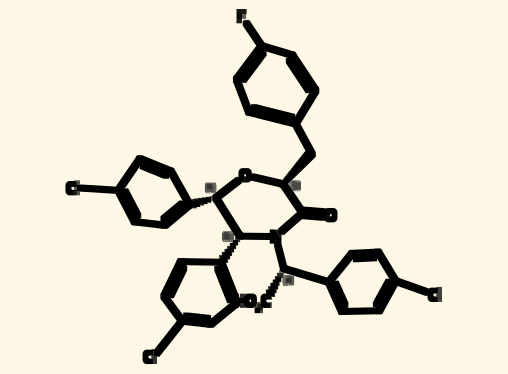 O=C(O)[C@@H](c1ccc(Cl)cc1)N1C(=O)[C@H](Cc2ccc(F)cc2)O[C@@H](c2ccc(Cl)cc2)[C@H]1c1ccc(Cl)cc1